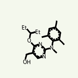 CCC(CC)Oc1nc(N(C)c2c(C)cc(C)cc2C)ncc1CO